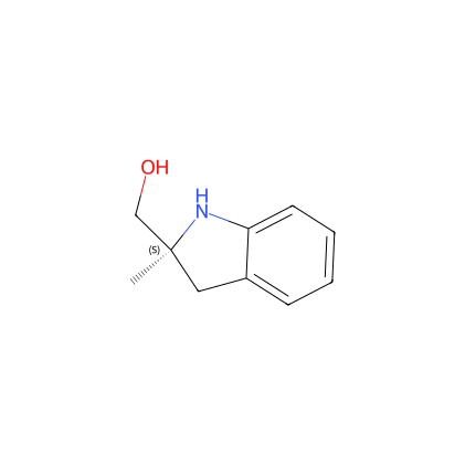 C[C@@]1(CO)Cc2ccccc2N1